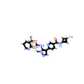 C[C@@H](OC(=O)Nc1c(-c2ccc(C(=O)NC34CC(F)(C3)C4)cn2)cnn1C)c1cccnc1Cl